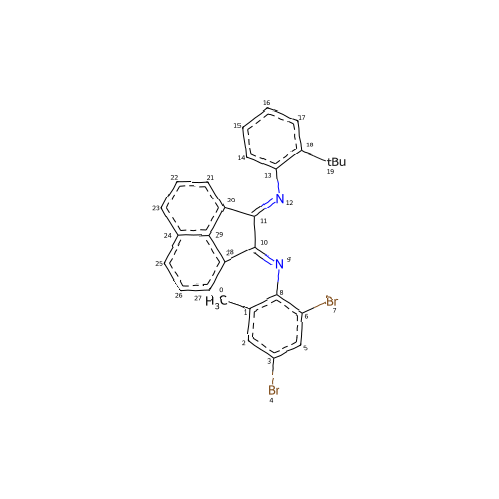 Cc1cc(Br)cc(Br)c1/N=C1/C(=N/c2ccccc2C(C)(C)C)c2cccc3cccc1c23